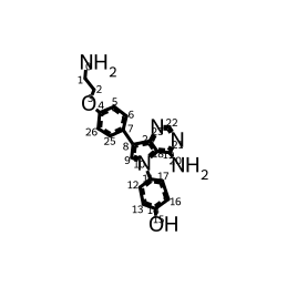 NCCOc1ccc(-c2cn(-c3ccc(O)cc3)c3c(N)ncnc23)cc1